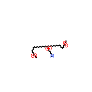 CCOC(=O)C/C=C\C/C=C\CCCCCCCCC(CCCCCCCC/C=C\C/C=C\CC(=O)OCC)OC(=O)CCCCN(C)C